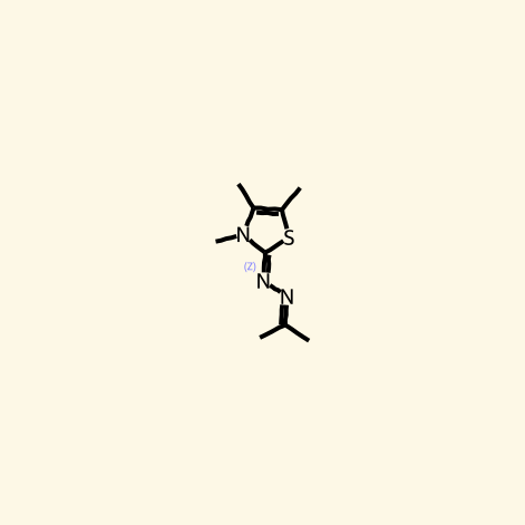 CC(C)=N/N=c1\sc(C)c(C)n1C